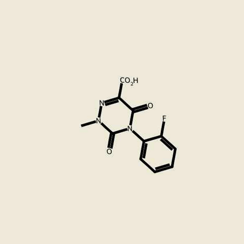 Cn1nc(C(=O)O)c(=O)n(-c2ccccc2F)c1=O